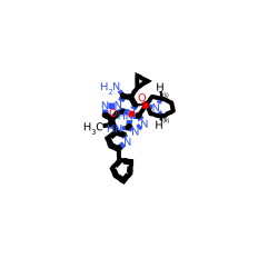 CC(=O)Nc1nnc(C(=O)N2[C@@H]3CC[C@H]2C[C@H](c2nc4c(-c5ccc(-c6ccccc6)nc5)cnn4c(N)c2C2CC2)C3)[nH]1